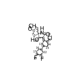 CO[C@H]1CC[C@]2(CC1)NC(=O)C(c1cc(-c3ccc(F)c(F)c3)ccc1Cl)=C2O